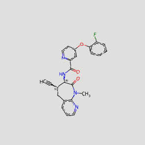 C#C[C@@H]1Cc2cccnc2N(C)C(=O)[C@@H]1NC(=O)c1cc(Oc2ccccc2F)ccn1